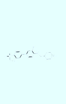 O=S1(=O)COc2cc(-c3ccc(OCC4CCNCC4)c(F)c3)ccc21